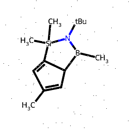 CB1C2C=C(C)C=C2[Si](C)(C)N1C(C)(C)C